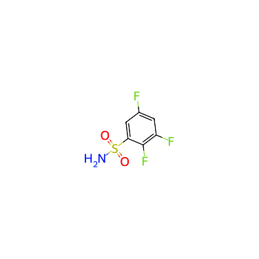 NS(=O)(=O)c1cc(F)cc(F)c1F